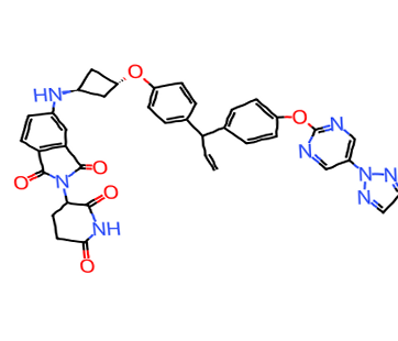 C=CC(c1ccc(Oc2ncc(-n3nccn3)cn2)cc1)c1ccc(O[C@H]2C[C@H](Nc3ccc4c(c3)C(=O)N(C3CCC(=O)NC3=O)C4=O)C2)cc1